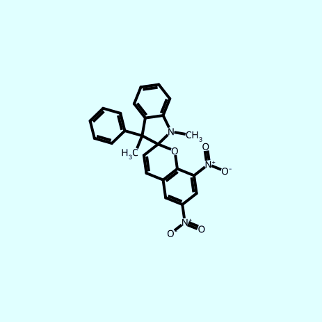 CN1c2ccccc2C(C)(c2ccccc2)C12C=Cc1cc([N+](=O)[O-])cc([N+](=O)[O-])c1O2